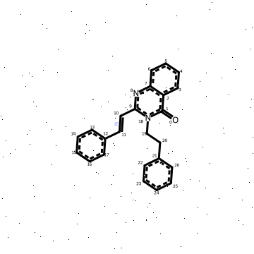 O=c1c2ccccc2nc(/C=C/c2ccccc2)n1CCc1ccccc1